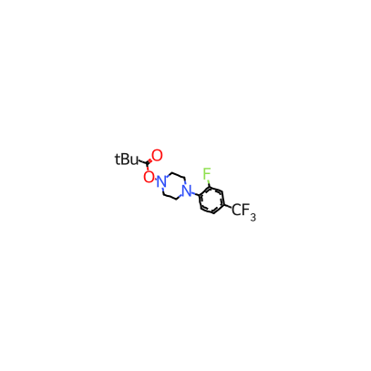 CC(C)(C)C(=O)ON1CCN(c2ccc(C(F)(F)F)cc2F)CC1